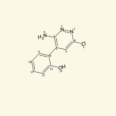 Nc1nnc(Cl)cc1-c1ccccc1O